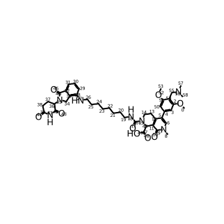 COc1cc(-c2cn(C)c(=O)c3c2CCN(C(=O)NCCCCCCCCNc2cccc4c2CN(C2CCC(=O)NC2=O)C4=O)C3C(=O)O)cc(OC)c1CN(C)C